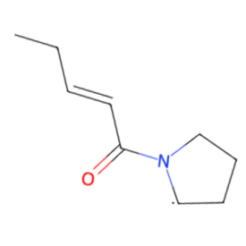 CCC=CC(=O)N1[CH]CCC1